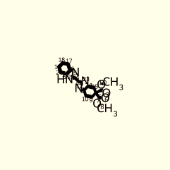 COC(=O)C1(C(=O)OC)C=CC2=NC(c3nc4ccccc4[nH]3)=NC2=C1